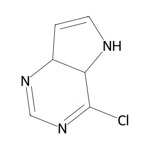 ClC1=NC=NC2C=CNC12